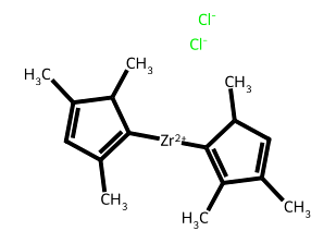 CC1=CC(C)[C]([Zr+2][C]2=C(C)C=C(C)C2C)=C1C.[Cl-].[Cl-]